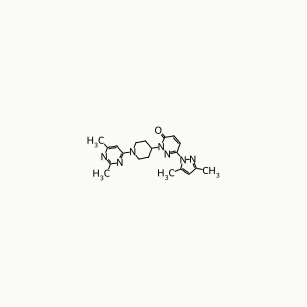 Cc1cc(N2CCC(n3nc(-n4nc(C)cc4C)ccc3=O)CC2)nc(C)n1